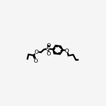 CCCCOc1ccc(S(=O)(=O)CCOC(=O)CC)cc1